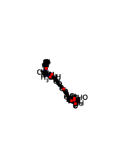 C/C=C(\C=N/N(C)NCCOCCOCCOCCOCCC(=O)Nc1cccc(C)c1C(=O)N(C=O)C1CCC(=O)NC1=O)c1cnc(Cl)c(/C=C/c2ccc3ccccc3c2)c1